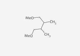 COCC(C)C(C)COC